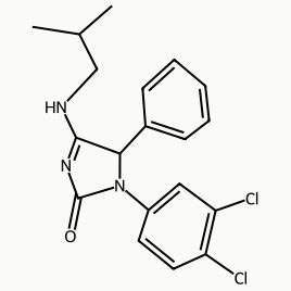 CC(C)CNC1=NC(=O)N(c2ccc(Cl)c(Cl)c2)C1c1ccccc1